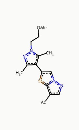 COCCn1nc(C)c(-c2cn3ncc(C(C)=O)c3s2)c1C